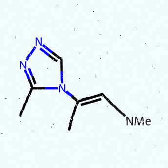 CN/C=C(\C)n1cnnc1C